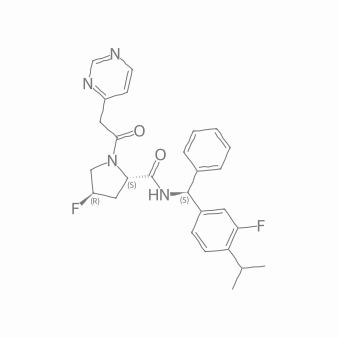 CC(C)c1ccc([C@@H](NC(=O)[C@@H]2C[C@@H](F)CN2C(=O)Cc2ccncn2)c2ccccc2)cc1F